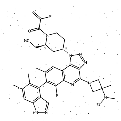 C=C(F)C(=O)N1CC[C@H](n2nnc3c(N4CC(C)(N(C)CC)C4)nc4c(F)c(-c5c(C)c(C)cc6[nH]ncc56)c(C)cc4c32)C[C@H]1CC#N